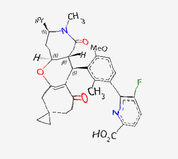 COc1ccc(-c2nc(C(=O)O)ccc2F)c(C)c1[C@H]1C2=C(CC3(CC3)CC2=O)O[C@H]2C[C@@H](C(C)C)N(C)C(=O)[C@@H]21